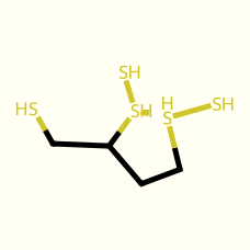 SCC1CC[SH](S)[SH]1S